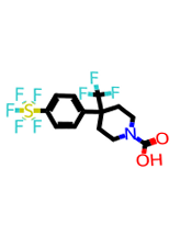 O=C(O)N1CCC(c2ccc(S(F)(F)(F)(F)F)cc2)(C(F)(F)F)CC1